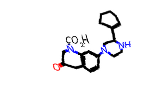 O=C1Cc2ccc(N3CCNC(C4CCCCC4)C3)cc2N(C(=O)O)C1